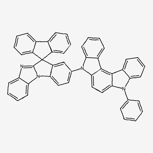 c1ccc(-n2c3ccccc3c3c4c5ccccc5n(-c5ccc6c(c5)C5(c7ccccc7-c7ccccc75)c5nc7ccccc7n5-6)c4ccc32)cc1